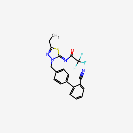 CCc1nn(Cc2ccc(-c3ccccc3C#N)cc2)c(=NC(=O)C(F)(F)F)s1